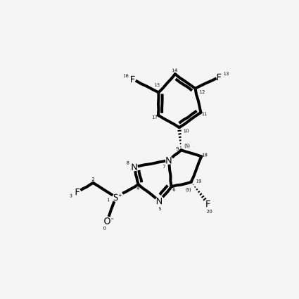 [O-][S+](CF)c1nc2n(n1)[C@H](c1cc(F)cc(F)c1)C[C@@H]2F